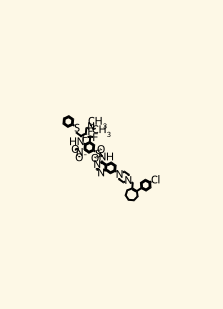 CN(C)CCC(CSc1ccccc1)Nc1c([N+](=O)[O-])cc(S(=O)(=O)Nc2ncnc3cc(N4CCN(CC5=C(c6ccc(Cl)cc6)CCCCC5)CC4)ccc23)cc1C(F)(F)F